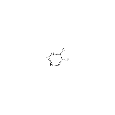 Fc1cn[c]nc1Cl